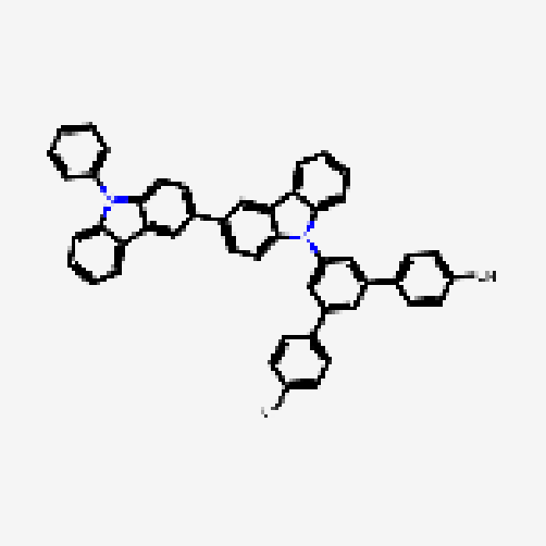 N#Cc1ccc(-c2cc(-c3ccc(C#N)cc3)cc(-n3c4ccccc4c4cc(-c5ccc6c(c5)c5ccccc5n6-c5ccccc5)ccc43)c2)cc1